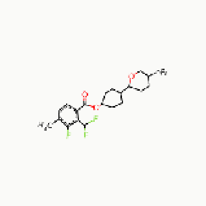 CCCC1CCC(C2CCC(OC(=O)c3ccc(C)c(F)c3C(F)F)CC2)OC1